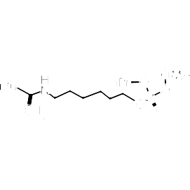 C=C(NCCCCCCOP(=S)(OOC)OC(C)C)C(C)CC